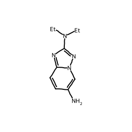 CCN(CC)c1nc2ccc(N)cn2n1